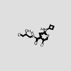 O=C(NC[C@H](O)CCl)c1cc(NC2CCC2)ncc1Cl